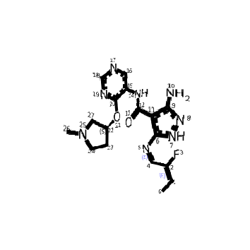 C/C=C(F)\C=N/c1[nH]nc(N)c1C(=O)Nc1cncnc1O[C@H]1CCN(C)C1